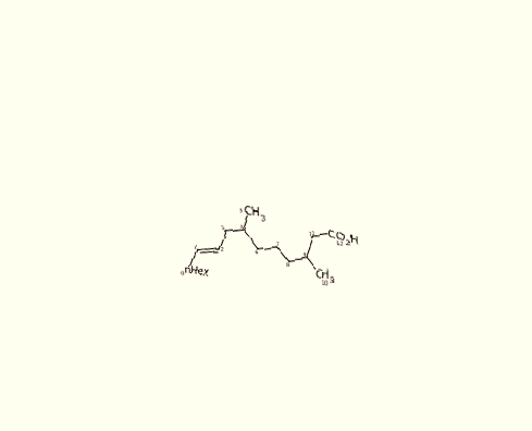 CCCCCCC=CCC(C)CCCC(C)CC(=O)O